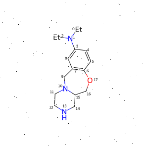 CCN(CC)c1ccc2c(c1)CN1CCNCC1CO2